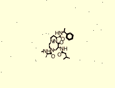 CN[C@H](C)C(=O)N1CCN2CC[C@@H](C(=O)NC(C)c3ccccc3)N2C(=O)[C@@H](NC(=O)CC(C)C)C1